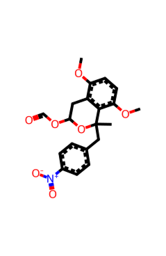 COc1ccc(OC)c2c1CC(OC=O)OC2(C)Cc1ccc([N+](=O)[O-])cc1